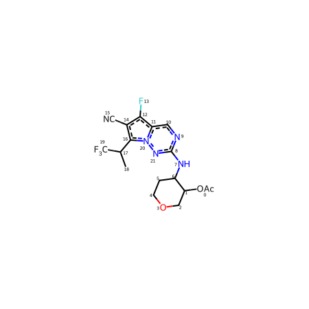 CC(=O)OC1COCCC1Nc1ncc2c(F)c(C#N)c(C(C)C(F)(F)F)n2n1